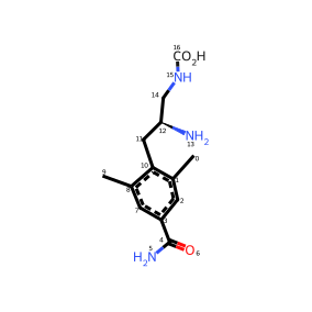 Cc1cc(C(N)=O)cc(C)c1C[C@H](N)CNC(=O)O